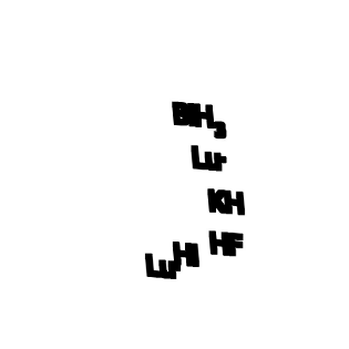 F.I.[BiH3].[KH].[Lu].[Lu]